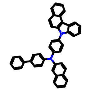 c1ccc(-c2ccc(N(c3ccc(-n4c5ccccc5c5c6ccccc6ccc54)cc3)c3ccc4ccccc4c3)cc2)cc1